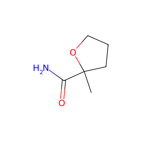 CC1(C(N)=O)CCCO1